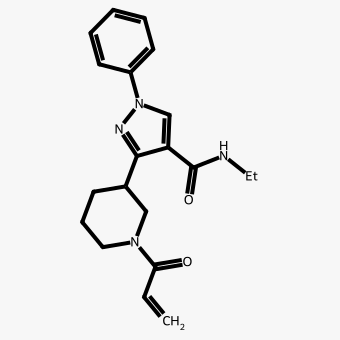 C=CC(=O)N1CCCC(c2nn(-c3ccccc3)cc2C(=O)NCC)C1